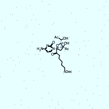 CCCCCCCCCCCCCCCC(=O)[C@]1(n2ccc(N)nc2=O)C[C@@](O)(C(C)=O)[C@@H](C(O)C(C)=O)O1